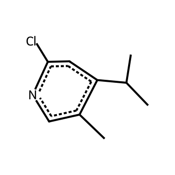 Cc1cnc(Cl)cc1C(C)C